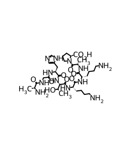 C[C@H](N)C(=O)NCC(=O)N[C@@H](Cc1cnc[nH]1)C(=O)N[C@H](C(=O)N[C@@H](CCCCN)C(=O)N[C@@H](CCCCN)C(=O)N[C@@H](C)C(=O)N1CCC[C@H]1C(=O)O)[C@@H](C)O